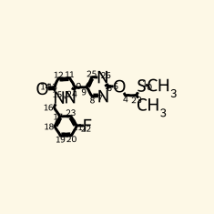 CSC(C)COc1ncc(-c2ccc(=O)n(Cc3cccc(F)c3)n2)cn1